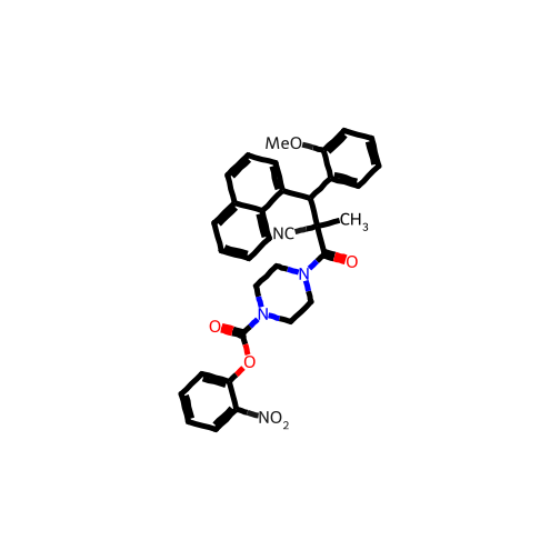 COc1ccccc1C(c1cccc2ccccc12)C(C)(C#N)C(=O)N1CCN(C(=O)Oc2ccccc2[N+](=O)[O-])CC1